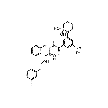 CCNc1cc(C(=O)N[C@@H](Cc2ccccc2)[C@@H](O)CNCCc2cccc(Cl)c2)cc(N2CCCCS2(O)O)c1